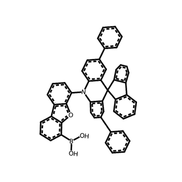 OB(O)c1cccc2c1oc1c(N3c4ccc(-c5ccccc5)cc4C4(c5ccccc5-c5ccccc54)c4cc(-c5ccccc5)ccc43)cccc12